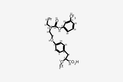 CCOC(Cc1ccc(OCCN(CC(C)C)C(=O)Oc2cccc(C(F)(F)F)c2)cc1)C(=O)O